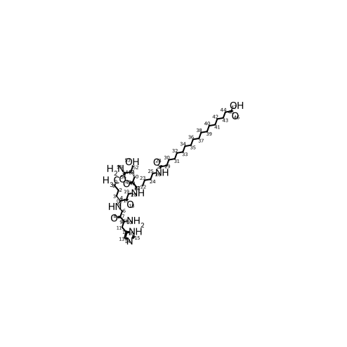 CCCC[C@H](NCC(=O)[C@@H](N)Cc1cnc[nH]1)C(=O)CN[C@@H](CCCCNC(=O)CCCCCCCCCCCCCCCCC(=O)O)C(=O)C[C@@H](CO)C(N)=O